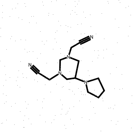 N#CCN1CC(N2CCCC2)CN(CC#N)C1